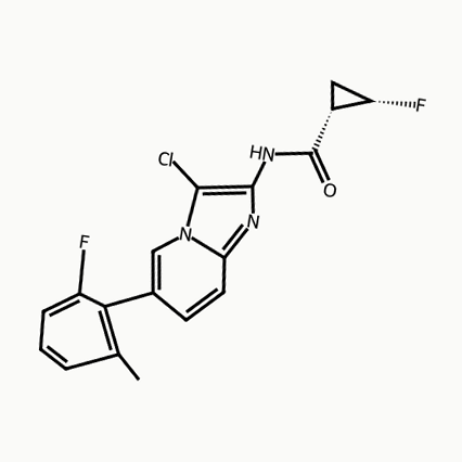 Cc1cccc(F)c1-c1ccc2nc(NC(=O)[C@@H]3C[C@@H]3F)c(Cl)n2c1